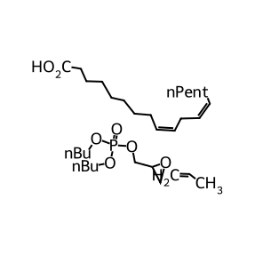 C=CC.CCCCC/C=C\C/C=C\CCCCCCCC(=O)O.CCCCOP(=O)(OCCCC)OCC1CO1